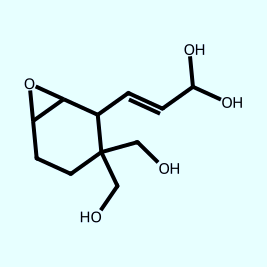 OCC1(CO)CCC2OC2C1C=CC(O)O